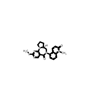 CSc1ncc2c(n1)N1CCC[C@H]1CN(c1cccc3c1ccc(=O)n3C)C2=O